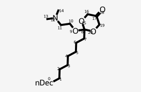 CCCCCCCCCCCCCCCCCC1(OCCN(C)C)OCC(=O)CO1